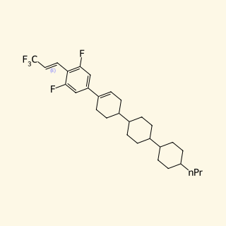 CCCC1CCC(C2CCC(C3CC=C(c4cc(F)c(/C=C/C(F)(F)F)c(F)c4)CC3)CC2)CC1